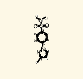 Cc1ccn(-c2ccc(S(=O)(=O)N(C)C)cc2)n1